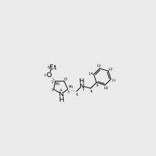 CCO[C@H]1CN[C@@H](CNCc2ccccc2)C1